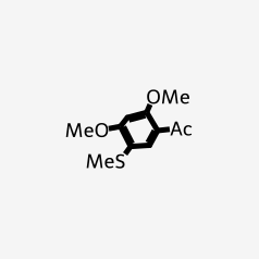 COc1cc(OC)c(C(C)=O)cc1SC